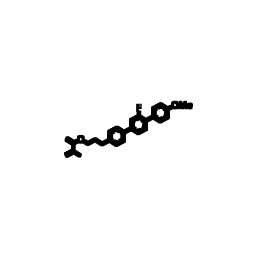 C=C(C)C(=C)OCCCc1ccc(-c2ccc(-c3ccc(OC)cc3)c(F)c2)cc1